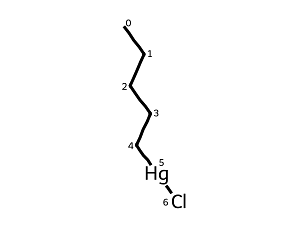 CCCC[CH2][Hg][Cl]